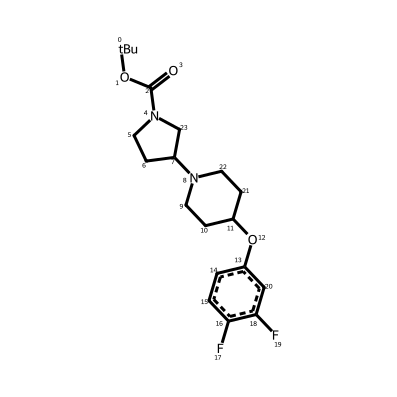 CC(C)(C)OC(=O)N1CCC(N2CCC(Oc3ccc(F)c(F)c3)CC2)C1